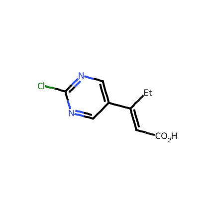 CC/C(=C\C(=O)O)c1cnc(Cl)nc1